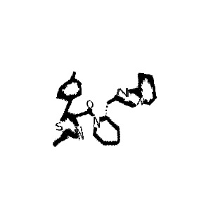 Cc1ccc(-c2sc(C)nc2C(=O)N2CCCC[C@H]2Cc2cn3ccccc3n2)cc1